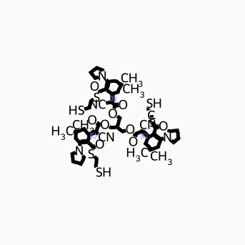 CC1(C)CC(N2CCCC2)=C(C(=O)SCCS)/C(=C(\C#N)C(=O)OCC(COC(=O)/C(C#N)=C2\CC(C)(C)CC(N3CCCC3)=C2C(=O)SCCS)COC(=O)/C(C#N)=C2\CC(C)(C)CC(N3CCCC3)=C2C(=O)SCCS)C1